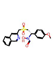 COc1ccc([C@@H](CS(=O)(=O)Cc2cc3ccccc3cn2)N(O)C=O)cc1